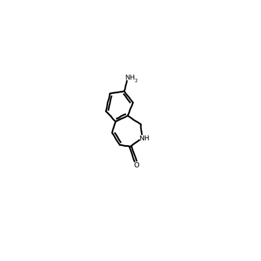 Nc1ccc2c(c1)CNC(=O)C=C2